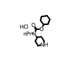 CCCN(C(=O)OC1CCCCC1)C1CCNCC1.Cl